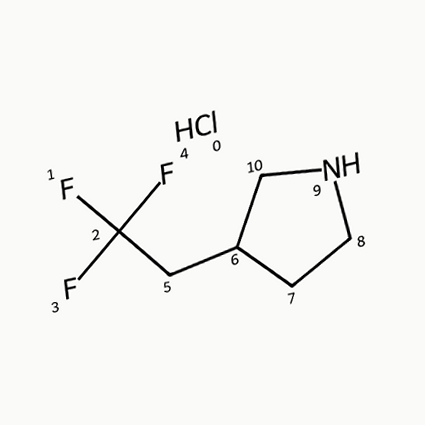 Cl.FC(F)(F)CC1CCNC1